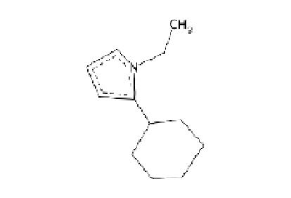 CCn1cccc1C1CCCCC1